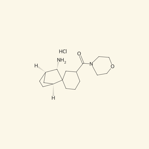 Cl.N[C@H]1[C@@H]2CC[C@@H](C2)C12CCCC(C(=O)N1CCOCC1)C2